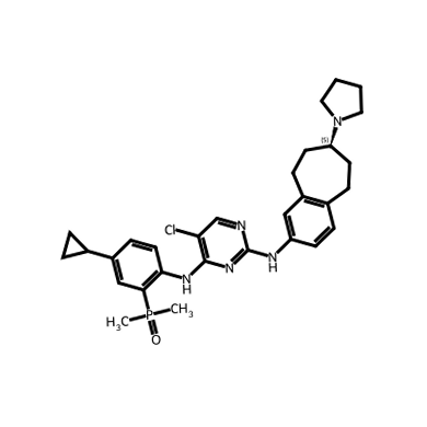 CP(C)(=O)c1cc(C2CC2)ccc1Nc1nc(Nc2ccc3c(c2)CC[C@@H](N2CCCC2)CC3)ncc1Cl